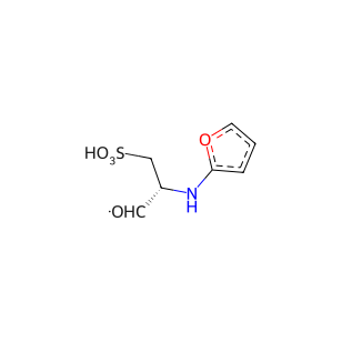 O=[C][C@H](CS(=O)(=O)O)Nc1ccco1